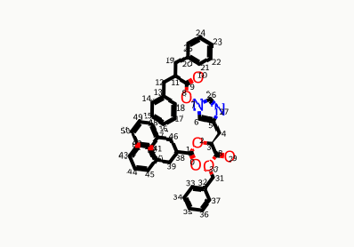 O=C(O[C@@H](Cc1cn(OC(=O)C(Cc2ccccc2)Cc2ccccc2)cn1)C(=O)OCc1ccccc1)C(Cc1ccccc1)Cc1ccccc1